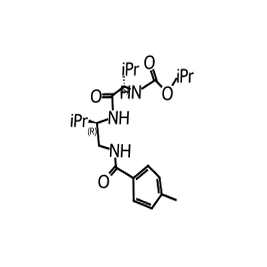 Cc1ccc(C(=O)NC[C@H](NC(=O)[C@@H](NC(=O)OC(C)C)C(C)C)C(C)C)cc1